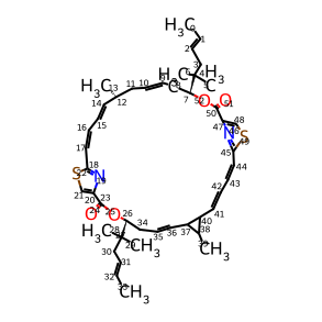 C/C=C/CC(C)(C)[C@@H]1C/C=C\C[C@@H](C)/C=C/C=C\c2nc(cs2)C(=O)O[C@H](C(C)(C)C/C=C/C)C/C=C\C2C(C)C2/C=C/C=C\c2nc(cs2)C(=O)O1